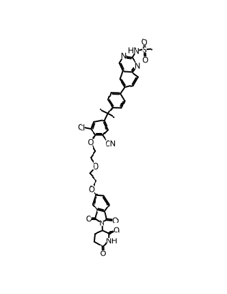 CC(C)(c1ccc(-c2ccc3nc(NS(C)(=O)=O)ncc3c2)cc1)c1cc(Cl)c(OCCOCCOc2ccc3c(c2)C(=O)N(C2CCC(=O)NC2=O)C3=O)c(C#N)c1